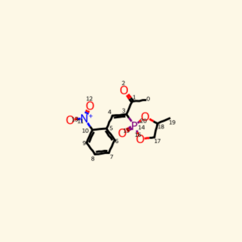 CC(=O)C(=Cc1ccccc1[N+](=O)[O-])P1(=O)OCC(C)O1